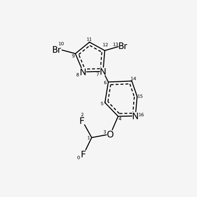 FC(F)Oc1cc(-n2nc(Br)cc2Br)ccn1